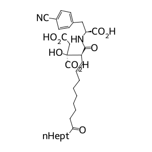 CCCCCCCC(=O)CCCCCC/C=C/[C@H](C(=O)N[C@@H](Cc1ccc(C#N)cc1)C(=O)O)[C@@](O)(CC(=O)O)C(=O)O